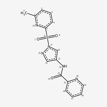 Cc1cccc(S(=O)(=O)n2cc(NC(=O)c3ccccn3)cn2)n1